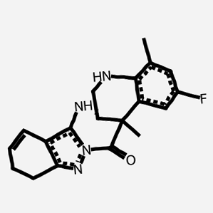 Cc1cc(F)cc2c1NCCC2(C)C(=O)n1nc2c(c1N)C=CCC2